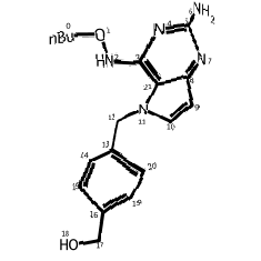 CCCCONc1nc(N)nc2ccn(Cc3ccc(CO)cc3)c12